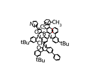 Cc1cc(C(C)(C)C)ccc1N1c2cc(-n3c4ccc(-c5ccccc5)cc4c4c5cc(C(C)(C)C)ccc5oc43)cc3c2B(c2cc(-c4cccnc4)oc21)c1c(ccc2c4c(sc12)C1CCC4(C)CCC1C)N3c1ccc(C(C)(C)C)cc1-c1ccccc1